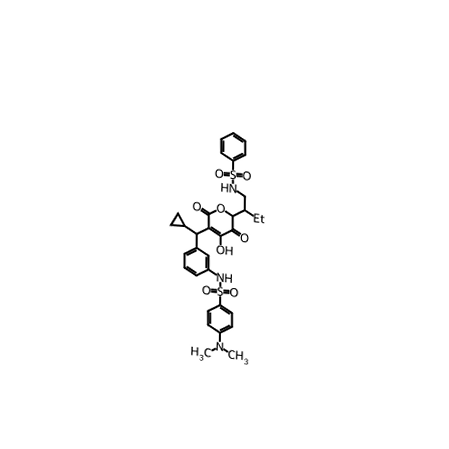 CCC(CNS(=O)(=O)c1ccccc1)C1OC(=O)C(C(c2cccc(NS(=O)(=O)c3ccc(N(C)C)cc3)c2)C2CC2)=C(O)C1=O